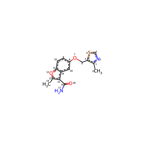 Cc1ncsc1COc1ccc2oc(C)c(C(N)=O)c2c1